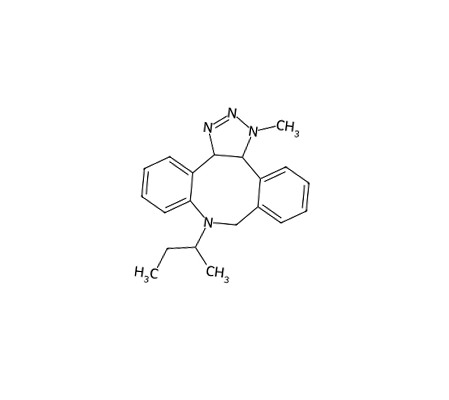 CCC(C)N1Cc2ccccc2C2C(N=NN2C)c2ccccc21